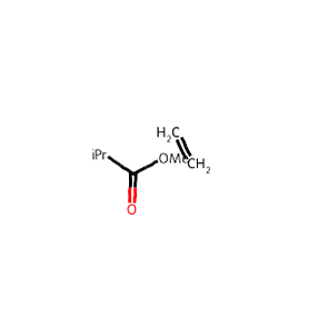 C=C.COC(=O)C(C)C